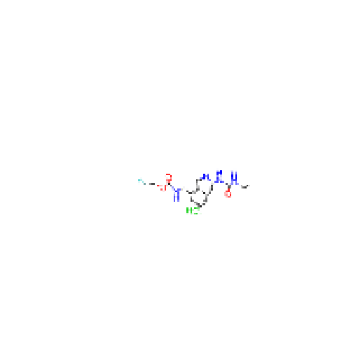 CCNC(=O)Nc1cc2cccc(CNC(=O)OCCF)c2cn1.Cl